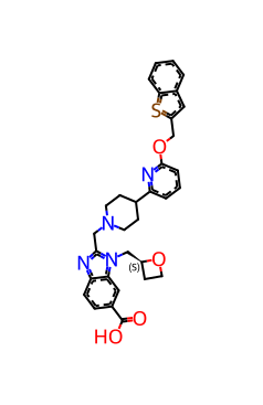 O=C(O)c1ccc2nc(CN3CCC(c4cccc(OCc5cc6ccccc6s5)n4)CC3)n(C[C@@H]3CCO3)c2c1